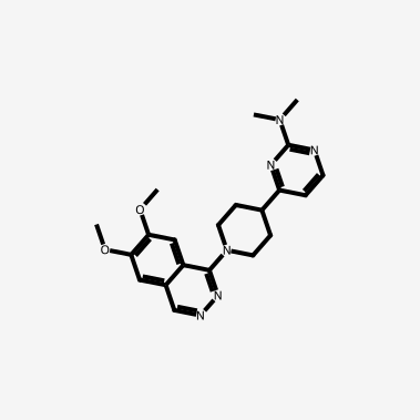 COc1cc2cnnc(N3CCC(c4ccnc(N(C)C)n4)CC3)c2cc1OC